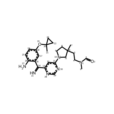 CN(C=O)CCC1(C)CCN(c2cc(C(=N)c3cc(OC4(C)CC4)ccc3N)ncn2)C1